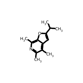 Cc1nc(C)c2oc(C(C)C)cc2c1C